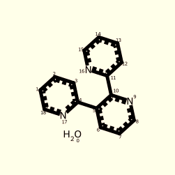 O.c1ccc(-c2cccnc2-c2ccccn2)nc1